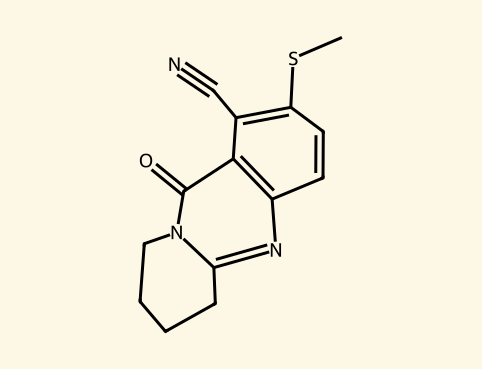 CSc1ccc2nc3n(c(=O)c2c1C#N)CCCC3